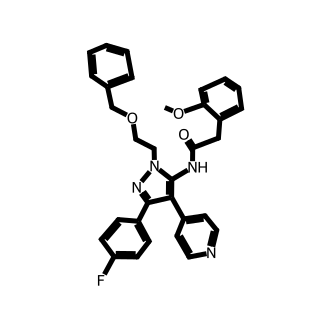 COc1ccccc1CC(=O)Nc1c(-c2ccncc2)c(-c2ccc(F)cc2)nn1CCOCc1ccccc1